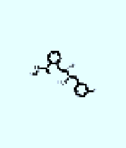 CC(C)(C)NC(=O)c1cccnc1C[C@H](O)[C@H](N)Cc1cccc(F)c1